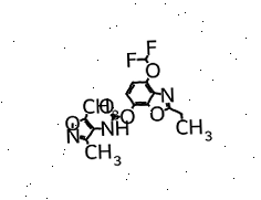 CCc1nc2c(OC(F)F)ccc(OC(=O)Nc3c(C)noc3C)c2o1